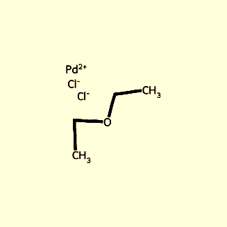 CCOCC.[Cl-].[Cl-].[Pd+2]